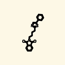 O=C1c2ccccc2C(=O)N1CCCCc1ncc(-c2ccccc2)s1